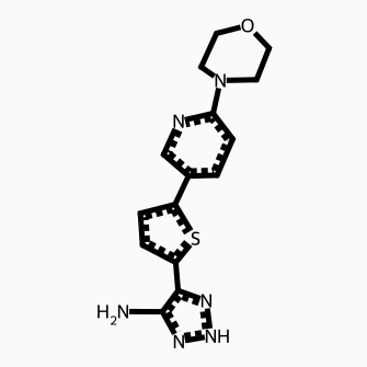 Nc1n[nH]nc1-c1ccc(-c2ccc(N3CCOCC3)nc2)s1